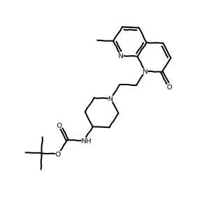 Cc1ccc2ccc(=O)n(CCN3CCC(NC(=O)OC(C)(C)C)CC3)c2n1